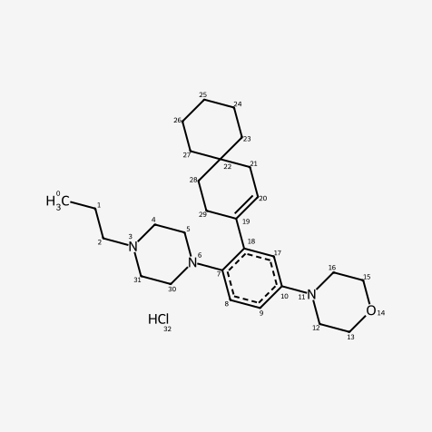 CCCN1CCN(c2ccc(N3CCOCC3)cc2C2=CCC3(CCCCC3)CC2)CC1.Cl